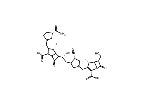 C[C@@H](O)C1C(=O)N2C(C(=O)O)=C(CN3CC(C[C@@H](O)C4C(=O)N5C(C(=O)O)=C(CN6CC[C@H](C(N)=O)C6)[C@H](C)C45)[C@H](C#N)C3)[C@H](C)C12